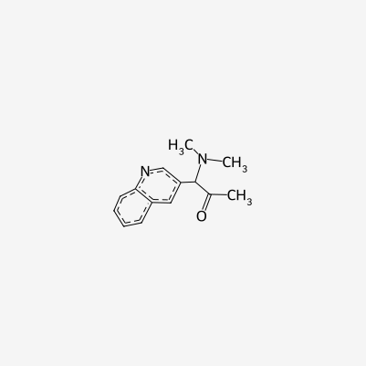 CC(=O)C(c1cnc2ccccc2c1)N(C)C